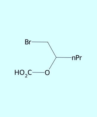 CCCC(CBr)OC(=O)O